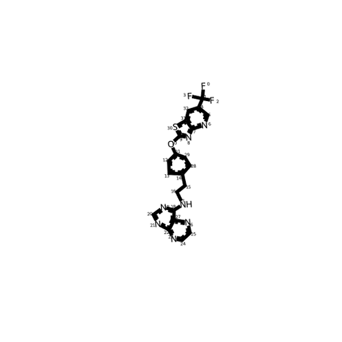 FC(F)(F)c1cnc2nc(Oc3ccc(CCNc4ncnc5nccnc45)cc3)sc2c1